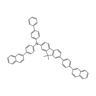 CC1(C)c2cc(-c3ccc(-c4ccc5ccccc5c4)cc3)ccc2-c2ccc(N(c3ccc(-c4ccccc4)cc3)c3ccc(-c4ccc5ccccc5c4)cc3)cc21